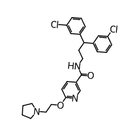 O=C(NCCC(c1cccc(Cl)c1)c1cccc(Cl)c1)c1ccc(OCCN2CCCC2)nc1